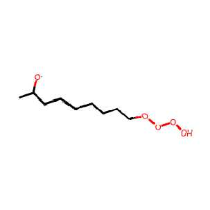 CC([O])CCCCCCCOOOO